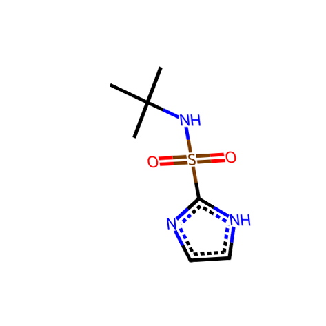 CC(C)(C)NS(=O)(=O)c1ncc[nH]1